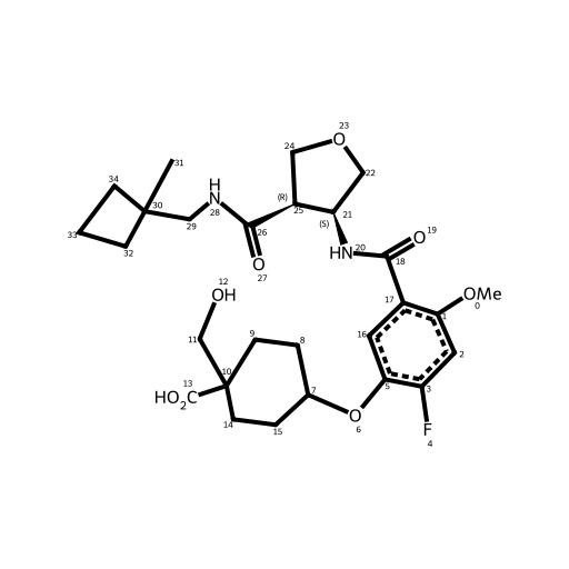 COc1cc(F)c(OC2CCC(CO)(C(=O)O)CC2)cc1C(=O)N[C@@H]1COC[C@@H]1C(=O)NCC1(C)CCC1